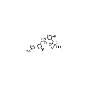 Cn1cc(-c2cc(F)cc(CC(=O)Nc3cc(N4CC[C@@](C)(C5CC5)C4=O)c(F)cn3)c2)cn1